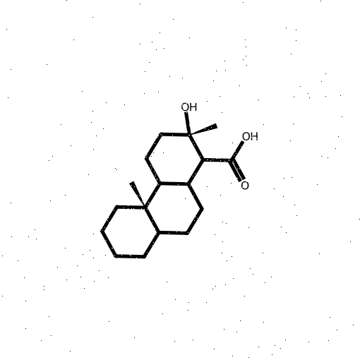 C[C@]12CCCCC1CCC1C2CC[C@](C)(O)C1C(=O)O